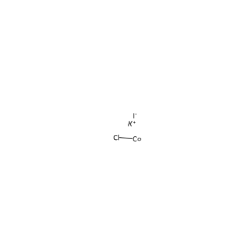 [Cl][Co].[I-].[K+]